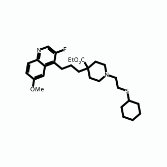 CCOC(=O)C1(CCCc2c(F)cnc3ccc(OC)cc23)CCN(CCSC2CCCCC2)CC1